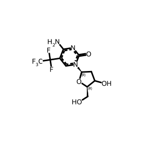 Nc1nc(=O)n([C@H]2CC(O)[C@@H](CO)O2)cc1C(F)(F)C(F)(F)F